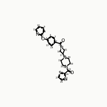 O=C(c1ccc(Oc2ccccn2)cc1)N1CC(N2CCN(C(=O)c3nccs3)CC2)C1